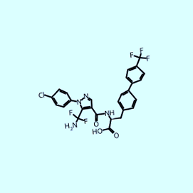 NC(F)(F)c1c(C(=O)N[C@@H](Cc2ccc(-c3ccc(C(F)(F)F)cc3)cc2)C(=O)O)cnn1-c1ccc(Cl)cc1